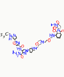 NC(=O)c1nn(-c2ccc(CNCC3CN(CCOCCNc4cccc5c4C(=O)N(C4CCC(=O)NC4=O)C5=O)CCO3)cc2)cc1NC(=O)c1coc(-c2ccnc(NCC(F)(F)F)c2)n1